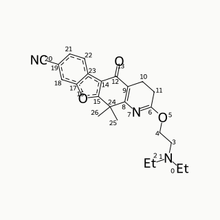 CCN(CC)CCOC1=NC2=C(CC1)C(=O)c1c(oc3cc(C#N)ccc13)C2(C)C